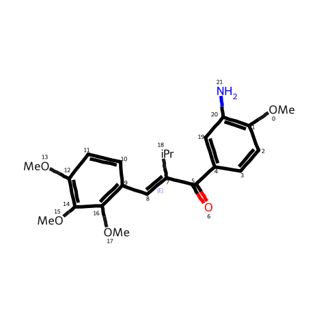 COc1ccc(C(=O)/C(=C/c2ccc(OC)c(OC)c2OC)C(C)C)cc1N